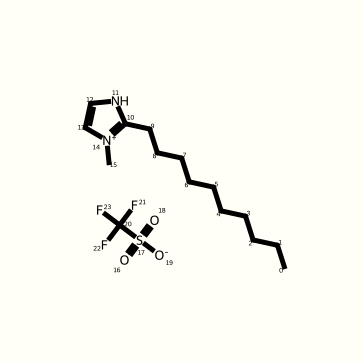 CCCCCCCCCCc1[nH]cc[n+]1C.O=S(=O)([O-])C(F)(F)F